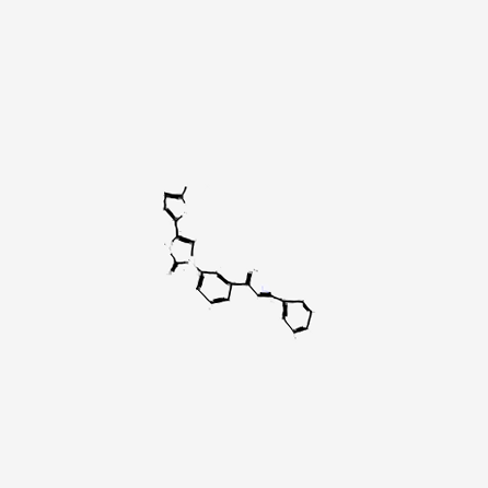 Cc1ccc(-c2cn(-c3cccc(C(=O)/C=C/c4ccccc4)c3)c(=O)[nH]2)o1